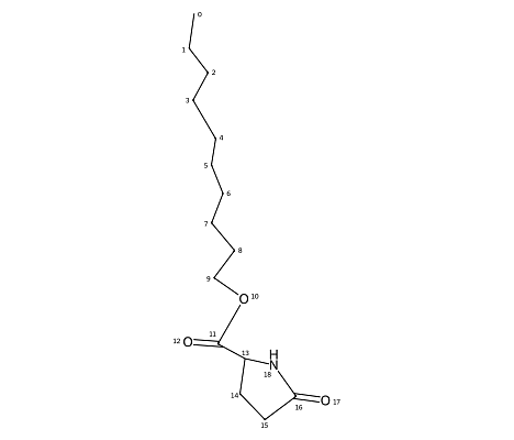 CCCCCCCCCCOC(=O)C1CCC(=O)N1